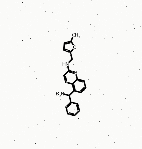 Cc1ccc(CNc2ccc3c(C(N)c4ccccc4)cccc3n2)o1